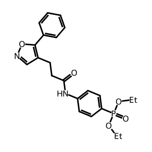 CCOP(=O)(OCC)c1ccc(NC(=O)CCc2cnoc2-c2ccccc2)cc1